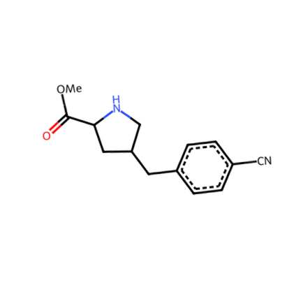 COC(=O)C1CC(Cc2ccc(C#N)cc2)CN1